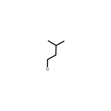 [Li][CH2]CC(C)C